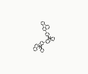 c1ccc(-n2c3cc(-c4ccc5c6ccccc6n(-c6ccc(-c7ccc8c9c(cccc79)-c7ccccc7-8)cc6)c5c4)ccc3c3ccc4ccccc4c32)cc1